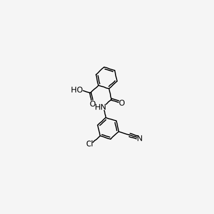 N#Cc1cc(Cl)cc(NC(=O)c2ccccc2C(=O)O)c1